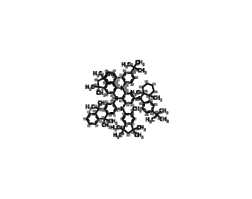 Cc1cc2c(cc1N1c3cc4c(cc3B3c5cc6c(cc5N(c5ccc(C(C)(C)C)cc5-c5ccccc5)c5cc(N7c8ccc(C(C)(C)C)cc8C8(C)CCCCC78C)cc1c53)C(C)(C)CC6(C)C)C(C)(C)c1ccccc1C4(C)C)C(C)(C)CC2(C)C